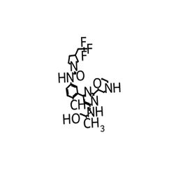 Cc1ccc(NC(=O)N2CCC(CC(F)(F)F)C2)cc1-c1cc(NC(C)CO)nc(C2CNCCO2)n1